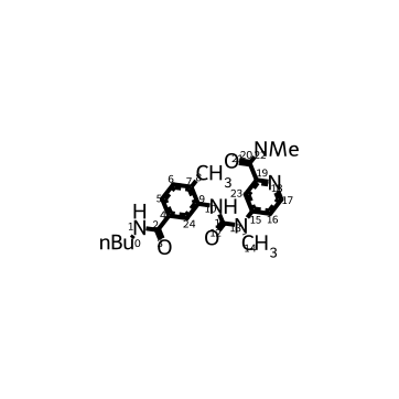 CCCCNC(=O)c1ccc(C)c(NC(=O)N(C)c2ccnc(C(=O)NC)c2)c1